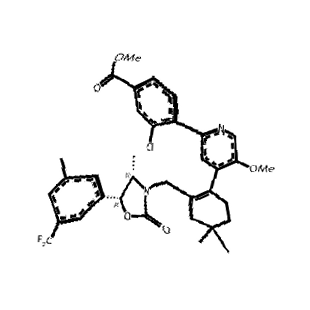 COC(=O)c1ccc(-c2cc(C3=C(CN4C(=O)O[C@H](c5cc(C)cc(C(F)(F)F)c5)[C@@H]4C)CC(C)(C)CC3)c(OC)cn2)c(Cl)c1